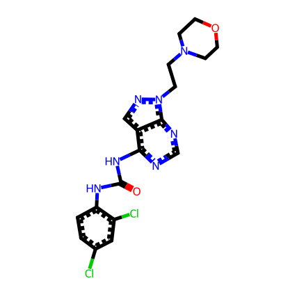 O=C(Nc1ccc(Cl)cc1Cl)Nc1ncnc2c1cnn2CCN1CCOCC1